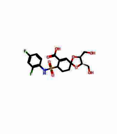 O=C(O)C1=CC2(CCC1S(=O)(=O)Nc1ccc(F)cc1F)O[C@@H](CO)[C@H](CO)O2